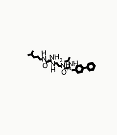 CC(C)CCCNC(=O)[C@H](N)NCCNC(=O)[C@@H](Cc1ccc(-c2ccccc2)cc1)NC(C)C